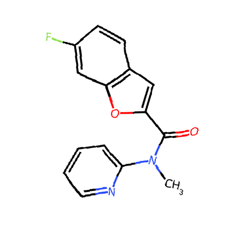 CN(C(=O)c1cc2ccc(F)cc2o1)c1ccccn1